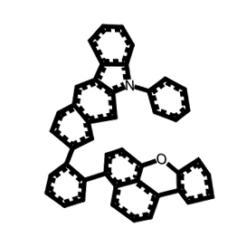 c1ccc(-n2c3ccccc3c3cc4ccc(-c5ccccc5-c5ccc6c7c(cccc57)-c5ccccc5O6)cc4cc32)cc1